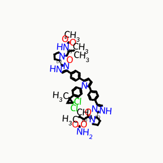 COC(=O)N[C@H](C(=O)N1CCC[C@H]1c1nc(-c2ccc(-c3ccc(-c4ccc(-c5c[nH]c([C@@H]6CCCN6C(=O)[C@@H](OC(N)=O)C(C)C)n5)cc4)n3-c3ccc(C4(C)CC4(Cl)Cl)cc3)cc2)c[nH]1)C(C)C